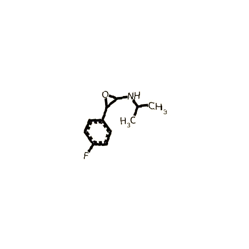 CC(C)NC1OC1c1ccc(F)cc1